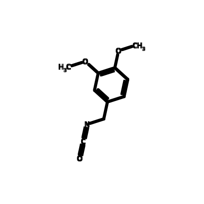 COc1ccc(CN=C=O)cc1OC